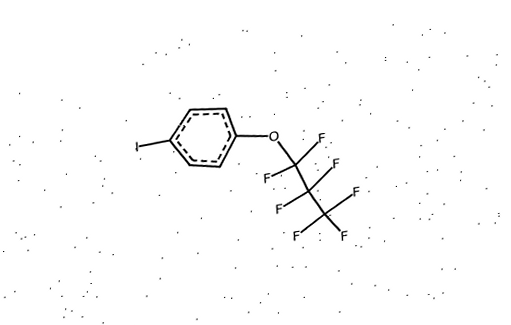 FC(F)(F)C(F)(F)C(F)(F)Oc1ccc(I)cc1